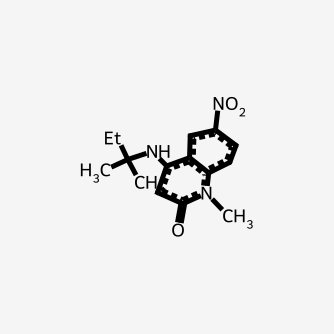 CCC(C)(C)Nc1cc(=O)n(C)c2ccc([N+](=O)[O-])cc12